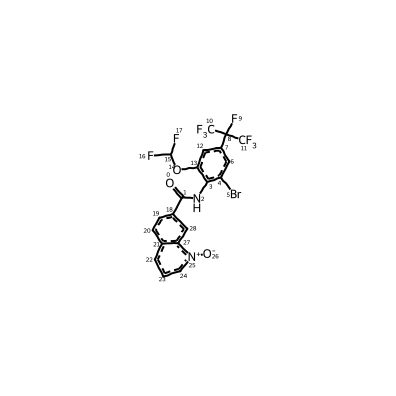 O=C(Nc1c(Br)cc(C(F)(C(F)(F)F)C(F)(F)F)cc1OC(F)F)c1ccc2ccc[n+]([O-])c2c1